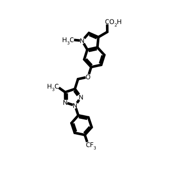 Cc1nn(-c2ccc(C(F)(F)F)cc2)nc1COc1ccc2c(CC(=O)O)cn(C)c2c1